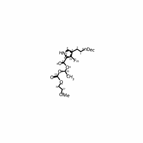 CCCCCCCCCCCCc1c[nH]c(C(=O)OC(C)OC(=O)OCCOC)c1F